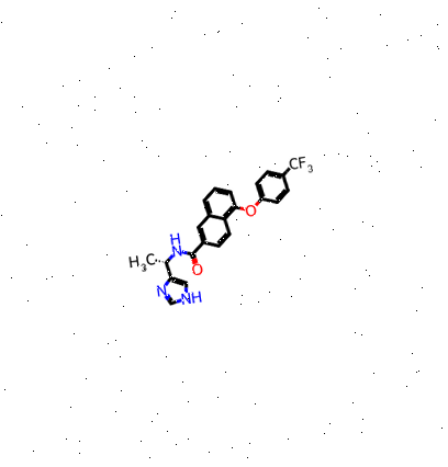 C[C@H](NC(=O)c1ccc2c(Oc3ccc(C(F)(F)F)cc3)cccc2c1)c1c[nH]cn1